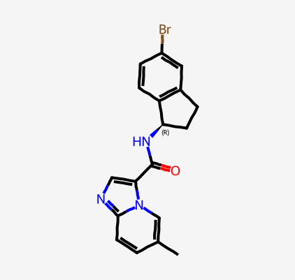 Cc1ccc2ncc(C(=O)N[C@@H]3CCc4cc(Br)ccc43)n2c1